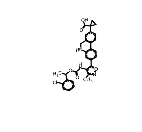 Cc1noc(-c2ccc3c(c2)NCc2cc(C4(C(=O)O)CC4)ccc2-3)c1NC(=O)OC(C)c1ccccc1Cl